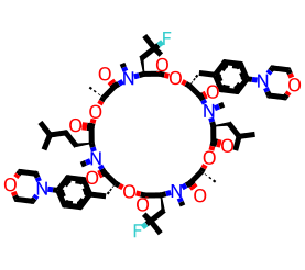 CC(C)CC[C@H]1C(=O)O[C@H](C)C(=O)N(C)[C@@H](CC(C)(C)F)C(=O)O[C@H](Cc2ccc(N3CCOCC3)cc2)C(=O)N(C)[C@@H](CC(C)C)C(=O)O[C@H](C)C(=O)N(C)[C@@H](CC(C)(C)F)C(=O)O[C@H](Cc2ccc(N3CCOCC3)cc2)C(=O)N1C